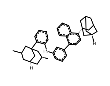 CC1C[C@@H]2C[C@H](C)CC(c3ccccc3Nc3cccc(-c4ccc([C@]56CC7CC(C[C@H](C7)C5)C6)c5ccccc45)c3)(C1)C2